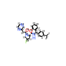 CC(C)c1ccc([C@@H](NC(=O)[C@@H]2C[C@@H](F)CN2C(=O)Cc2cnccn2)c2ccccc2)cc1